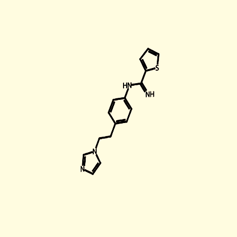 N=C(Nc1ccc(CCn2ccnc2)cc1)c1cccs1